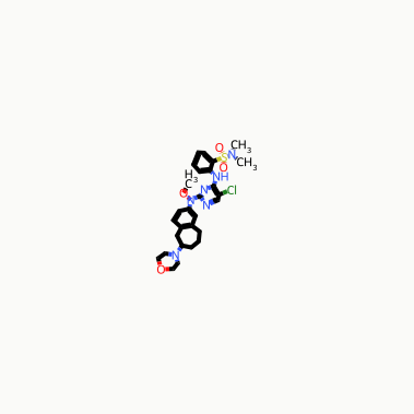 CON(c1ccc2c(c1)CCCC(N1CCOCC1)C2)c1ncc(Cl)c(Nc2ccccc2S(=O)(=O)N(C)C)n1